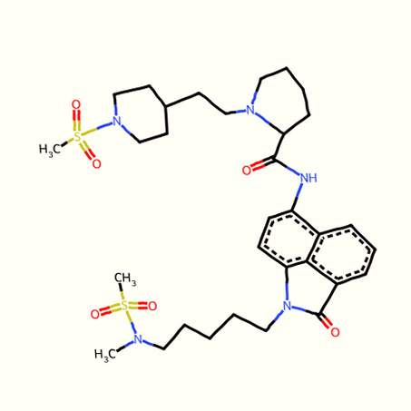 CN(CCCCCN1C(=O)c2cccc3c(NC(=O)C4CCCCN4CCC4CCN(S(C)(=O)=O)CC4)ccc1c23)S(C)(=O)=O